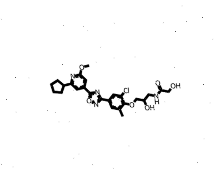 COc1cc(-c2nc(-c3cc(C)c(OCC(O)CNC(=O)CO)c(Cl)c3)no2)cc(C2CCCC2)n1